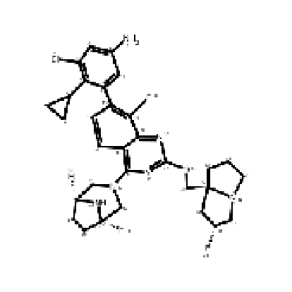 Nc1cc(Cl)c(C2CC2)c(-c2ccc3c(N4C[C@H]5CC[C@@H](C4)N5)nc(OC[C@@]45CCCN4C[C@H](F)C5)nc3c2F)c1